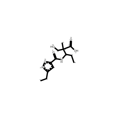 CCc1cc(C(=O)NC(CC)C(C)(CO)C(=O)O)on1